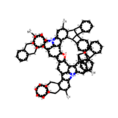 N#Cc1cc2c(c3c1C1c4ccccc4C3c3ccccc31)c1cc3c4cc5c6c7c(c(C#N)cc6n6c8cc(C#N)c9c(c8c(c4oc3c3c4c8c(c(C#N)cc4n2c13)C1c2ccccc2C12c1ccccc1C82)c56)C1c2ccccc2C12c1ccccc1C92)C1c2ccccc2C7c2ccccc21